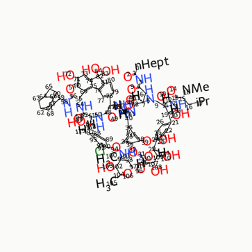 CCCCCCCC(=O)NC(=O)C[C@@H]1NC(=O)[C@H](NC(=O)[C@@H](CC(C)C)NC)[C@H](O)c2ccc3c(c2)C(O)[C@H]2O[C@@H](Oc4c5cc(cc4O3)[C@@H](NC1=O)C(=O)N[C@H]1C(=O)N[C@H](C(=O)N[C@H](C(=O)NC3C4CC6CC(C4)CC3C6)c3cc(O)cc4c3-c3cc1ccc3C4(O)O)[C@H](O)c1ccc(c(Cl)c1)O5)[C@H](O[C@H]1C[C@](C)(N)[C@H](O)[C@H](C)O1)[C@@H](O)[C@@H]2O